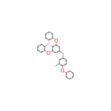 Cc1cc(Cc2cc3c4c(c2)Oc2ccccc2B4c2ccccc2O3)ccc1Oc1ccccc1